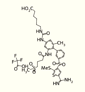 CSc1sc(C(=N)N)cc1S(=O)(=O)c1cccc(-c2c(C)cc(NC(=O)NCCCCCC(=O)O)cc2NC(=O)CCCS(C)(=O)=O)c1.O=C(O)C(F)(F)F